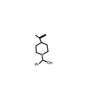 C=C(C)C1CCN(C(O)C(C)C)CC1